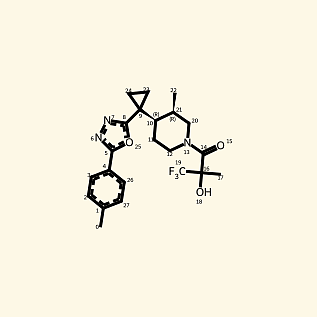 Cc1ccc(-c2nnc(C3([C@@H]4CCN(C(=O)C(C)(O)C(F)(F)F)C[C@@H]4C)CC3)o2)cc1